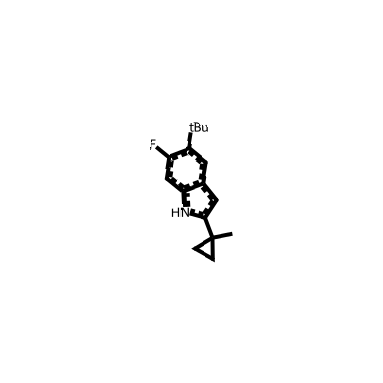 CC(C)(C)c1cc2cc(C3(C)CC3)[nH]c2cc1F